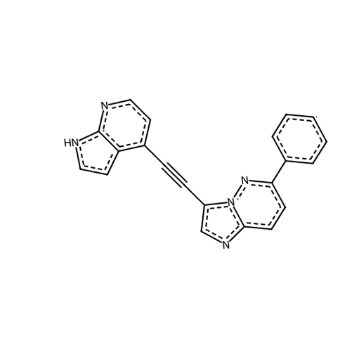 C(#Cc1cnc2ccc(-c3cc[c]cc3)nn12)c1ccnc2[nH]ccc12